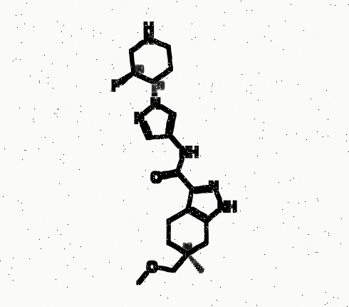 COC[C@@]1(C)CCc2c(C(=O)Nc3cnn([C@H]4CCNC[C@@H]4F)c3)n[nH]c2C1